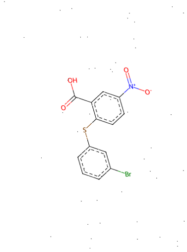 O=C(O)c1cc([N+](=O)[O-])ccc1Sc1cccc(Br)c1